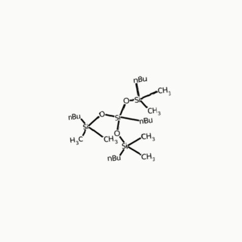 CCCC[Si](C)(C)O[Si](CCCC)(O[Si](C)(C)CCCC)O[Si](C)(C)CCCC